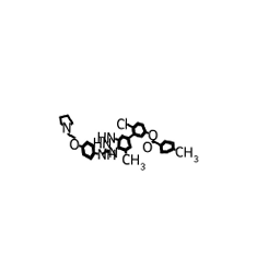 Cc1ccc(C(=O)Oc2ccc(Cl)c(-c3cc(C)c4c(c3)NNC(Nc3ccc(OCCN5CCCC5)cc3)=N4)c2)cc1